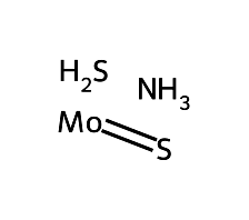 N.S.[S]=[Mo]